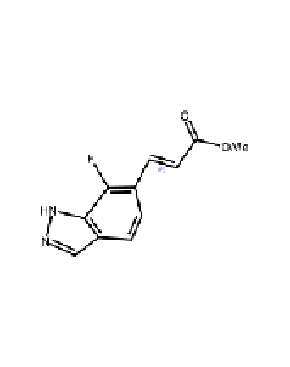 COC(=O)/C=C/c1ccc2cn[nH]c2c1F